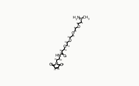 CN(N)CCOCCOCCOCCOCCC(=O)NCCN1C(=O)C=CC1=O